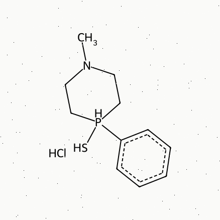 CN1CC[PH](S)(c2ccccc2)CC1.Cl